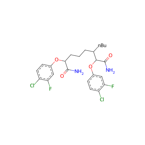 CCCCC(CCCC(Oc1ccc(Cl)c(F)c1)C(N)=O)C(Oc1ccc(Cl)c(F)c1)C(N)=O